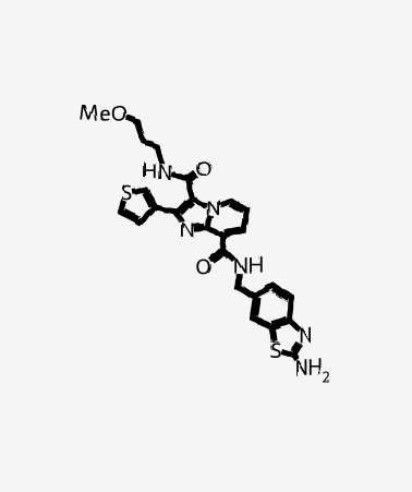 COCCCNC(=O)c1c(-c2ccsc2)nc2c(C(=O)NCc3ccc4nc(N)sc4c3)cccn12